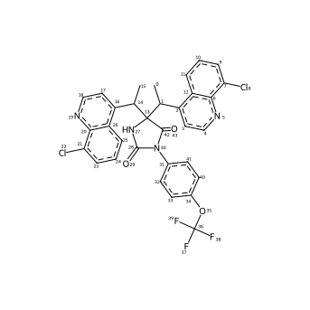 CC(c1ccnc2c(Cl)cccc12)C1(C(C)c2ccnc3c(Cl)cccc23)NC(=O)N(c2ccc(OC(F)(F)F)cc2)C1=O